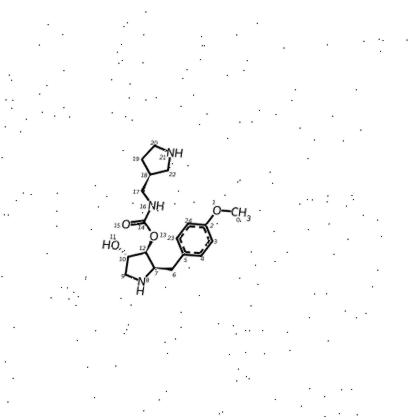 COc1ccc(C[C@H]2NC[C@H](O)[C@H]2OC(=O)NC[C@H]2CCNC2)cc1